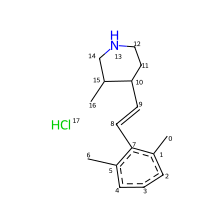 Cc1cccc(C)c1C=CC1CCNCC1C.Cl